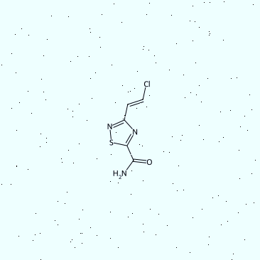 NC(=O)c1nc(C=CCl)ns1